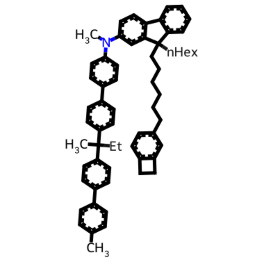 CCCCCCC1(CCCCCCc2ccc3c(c2)CC3)c2ccccc2-c2ccc(N(C)c3ccc(-c4ccc(C(C)(CC)c5ccc(-c6ccc(C)cc6)cc5)cc4)cc3)cc21